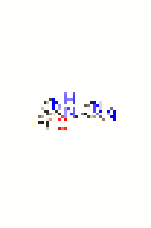 Cc1c(CNC(=O)c2ncccc2C(C)C)ccnc1CN(C)C